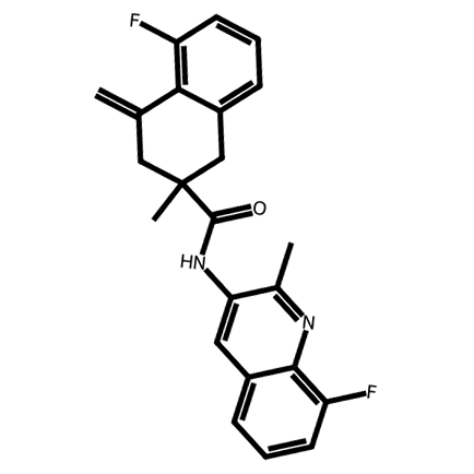 C=C1CC(C)(C(=O)Nc2cc3cccc(F)c3nc2C)Cc2cccc(F)c21